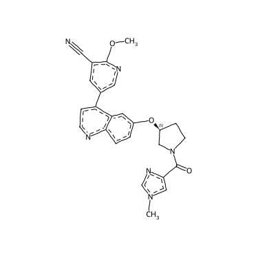 COc1ncc(-c2ccnc3ccc(O[C@H]4CCN(C(=O)c5cn(C)cn5)C4)cc23)cc1C#N